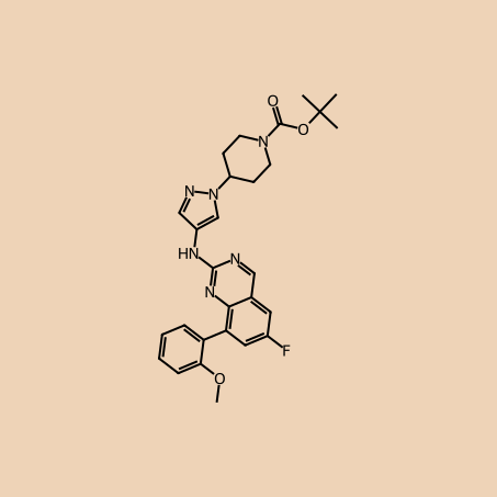 COc1ccccc1-c1cc(F)cc2cnc(Nc3cnn(C4CCN(C(=O)OC(C)(C)C)CC4)c3)nc12